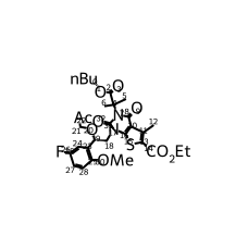 CCCCOC(=O)C(C)(C)n1c(=O)c2c(C)c(C(=O)OCC)sc2n(C[C@H](OCC(C)=O)c2cc(F)ccc2OC)c1=O